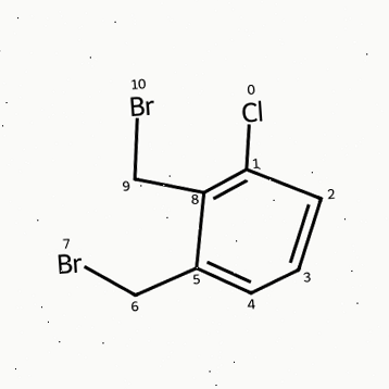 Clc1cccc(CBr)c1CBr